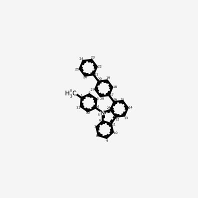 Cc1ccc(-n2c3ccccc3c3cccc(-c4ccc(-c5ccccc5)cc4)c32)cc1